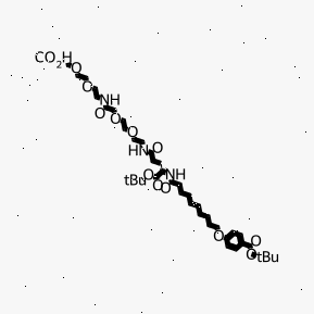 CC(C)(C)OC(=O)c1ccc(OCCCCCCCCCC(=O)N[C@@H](CCC(=O)NCCOCCOCC(=O)NCCOCCOCC(=O)O)C(=O)OC(C)(C)C)cc1